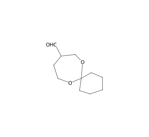 O=CC1CCOC2(CCCCC2)OC1